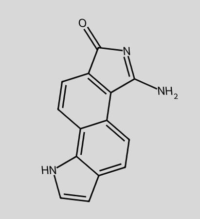 NC1=NC(=O)c2ccc3c(ccc4cc[nH]c43)c21